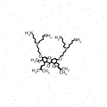 COc1c(OCCCCN(CCCCN)CCCCN)cc2oc3cc(OCCCCN(CCCCN)CCCCN)c(CC=C(C)C)c(O)c3c(=O)c2c1CC=C(C)C